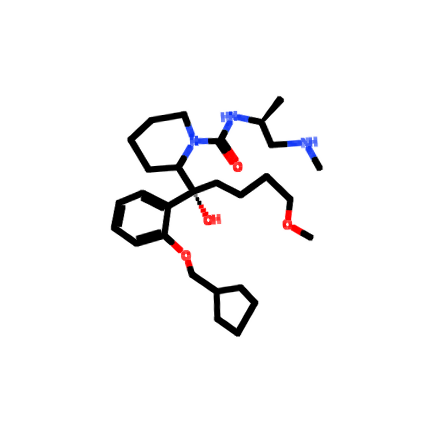 CNC[C@H](C)NC(=O)N1CCCCC1[C@@](O)(CCCCOC)c1ccccc1OCC1CCCC1